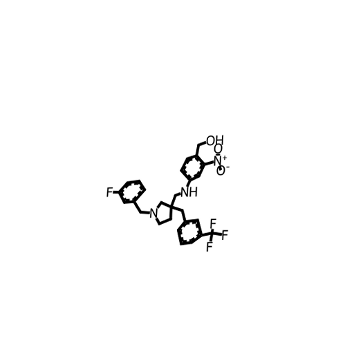 O=[N+]([O-])c1cc(NCC2(Cc3cccc(C(F)(F)F)c3)CCN(Cc3cccc(F)c3)C2)ccc1CO